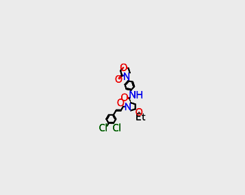 CCO[C@@H]1C[C@H](C(=O)Nc2ccc(N3CCOCC3=O)cc2)N(C(=O)/C=C/c2ccc(Cl)c(Cl)c2)C1